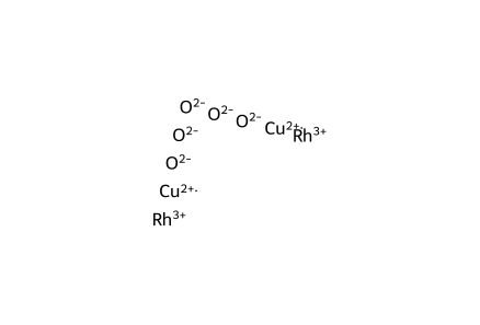 [Cu+2].[Cu+2].[O-2].[O-2].[O-2].[O-2].[O-2].[Rh+3].[Rh+3]